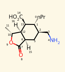 CCC[C@@H]1[C@@H](CN)C[C@H]2C(=O)O[C@H](C)[C@H]2[C@H]1C(=O)O